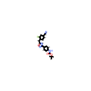 CC(C)(C)OC(=O)Nc1ccc(-c2noc(Cc3ccc(C#N)cc3F)n2)cc1